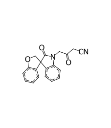 N#CCC(=O)CN1C(=O)C2(COc3ccccc32)c2ccccc21